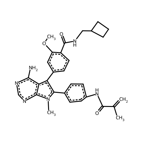 C=C(C)C(=O)Nc1ccc(-c2c(-c3ccc(C(=O)NCC4CCC4)c(OC)c3)c3c(N)ncnc3n2C)cc1